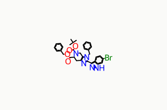 CC(C)(C)OC(=O)N1Cc2c(nc(-c3n[nH]c4cc(Br)ccc34)n2Cc2ccccc2)CC1C(=O)OCc1ccccc1